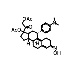 CC(=O)OCC(=O)[C@@]1(OC(C)=O)CC[C@H]2[C@@H]3CCC4=C/C(=N\O)CCC4=C3[C@@H](c3ccc(N(C)C)cc3)C[C@@]21C